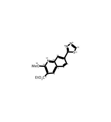 CCOC(=O)c1cc2ccc(-c3nncs3)cc2nc1OC